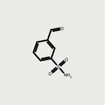 NS(=O)(=O)c1cccc([C]=O)c1